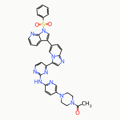 CC(=O)N1CCN(c2ccc(Nc3nccc(-c4cnc5ccc(-c6cn(S(=O)(=O)c7ccccc7)c7ncccc67)cn45)n3)nc2)CC1